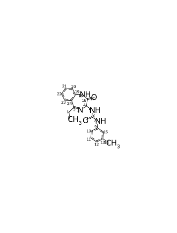 CCC1=NC(NC(=O)Nc2cccc(C)c2)C(=O)Nc2ccccc21